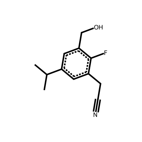 CC(C)c1cc(CO)c(F)c(CC#N)c1